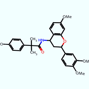 COc1ccc(C(C)(C)C(=O)NC2CC(c3ccc(OC)c(OC)c3)Oc3cc(OC)ccc32)cc1